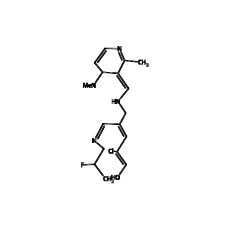 CNC1C=CN=C(C)/C1=C/NCC(/C=N\CC(C)F)=C/C(Cl)=C/O